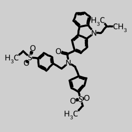 CCS(=O)(=O)c1ccc(CN(Cc2ccc(S(=O)(=O)CC)cc2)C(=O)c2ccc3c(c2)c2ccccc2n3CC(C)C)cc1